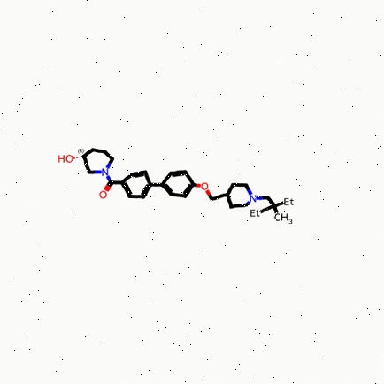 CCC(C)(CC)CN1CCC(COc2ccc(-c3ccc(C(=O)N4CCC[C@@H](O)C4)cc3)cc2)CC1